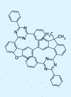 CC1(C)c2ccc(-c3ccc4oc5cccc(-c6nc(-c7ccccc7)nc(-c7ccccc7)n6)c5c4c3)cc2-c2c(-c3nc(-c4ccccc4)nc(-c4ccccc4)n3)cccc21